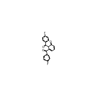 O=C(C1=CC=CC(=O)C1C(=O)c1ccc(F)cc1)c1ccc(F)cc1